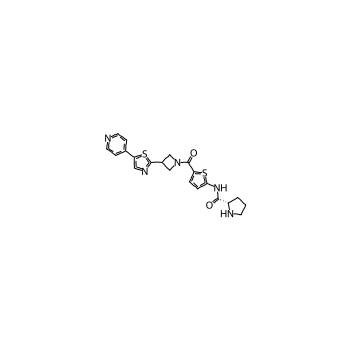 O=C(Nc1ccc(C(=O)N2CC(c3ncc(-c4ccncc4)s3)C2)s1)[C@@H]1CCCN1